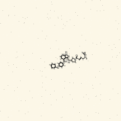 CN(CC=CC(=O)N1CCC(Nc2n[nH]c3nccc(Nc4ccc(Oc5ccccc5)cc4)c23)C1)C1CC1